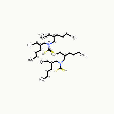 CCCCC(CC)CN(CC(CC)CCCC)C(=S)[S-].CCCCC(CC)CN(CC(CC)CCCC)C(=S)[S-].[Ca+2]